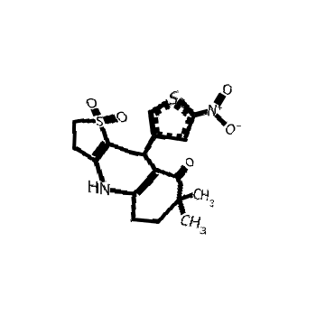 CC1(C)CCC2=C(C1=O)C(c1csc([N+](=O)[O-])c1)C1=C(CCS1(=O)=O)N2